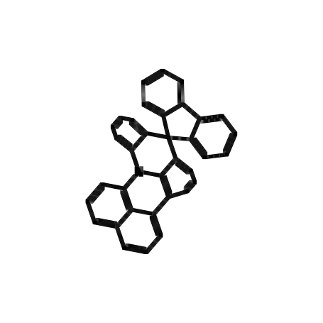 c1ccc2c(c1)-c1ccccc1C21c2ccccc2N2c3c(cccc31)-c1cccc3cccc2c13